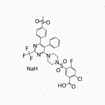 CS(=O)(=O)c1ccc(-c2nc(C(F)(F)F)nc(N3CCN(S(=O)(=O)c4cc(C(=O)O)c(Cl)cc4F)CC3)c2-c2ccccc2)cc1.[NaH]